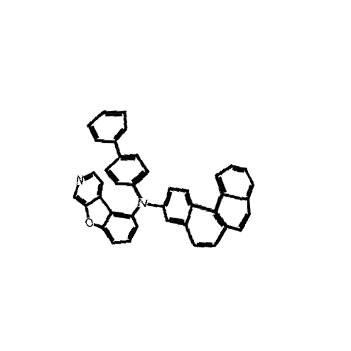 c1ccc(-c2ccc(N(c3ccc4c(ccc5ccc6ccccc6c54)c3)c3cccc4oc5cnccc5c34)cc2)cc1